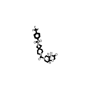 O=C1CO[C@H]2CCN(C(=O)N3CCC4(CC3)CN(S(=O)(=O)c3ccc(C(F)(F)F)cc3)C4)C[C@H]2N1